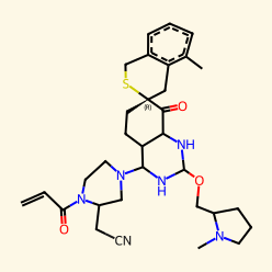 C=CC(=O)N1CCN(C2NC(OCC3CCCN3C)NC3C(=O)[C@@]4(CCC32)Cc2c(C)cccc2CS4)CC1CC#N